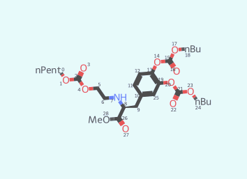 CCCCCOC(=O)OCCN[C@@H](Cc1ccc(OC(=O)OCCCC)c(OC(=O)OCCCC)c1)C(=O)OC